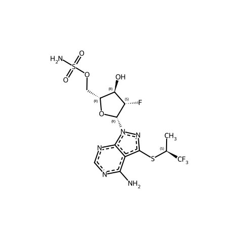 C[C@H](Sc1nn([C@@H]2O[C@H](COS(N)(=O)=O)[C@@H](O)[C@@H]2F)c2ncnc(N)c12)C(F)(F)F